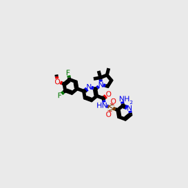 COc1c(F)cc(-c2ccc(C(=O)NS(=O)(=O)c3cccnc3N)c(N3CCC(C)C3(C)C)n2)cc1F